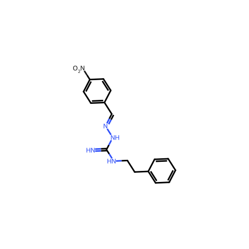 N=C(NCCc1ccccc1)NN=Cc1ccc([N+](=O)[O-])cc1